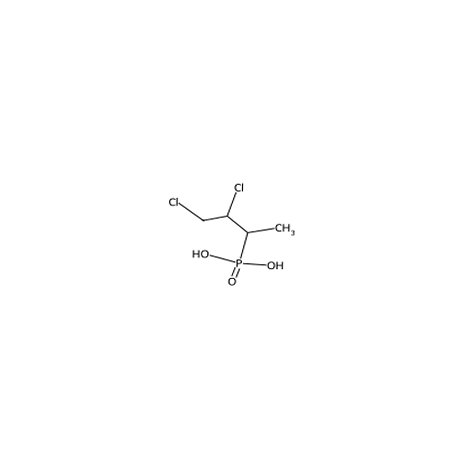 CC(C(Cl)CCl)P(=O)(O)O